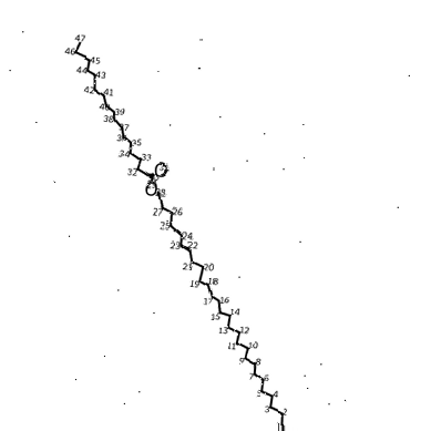 CCCCCCCCCCCCCCCCCCCCCCCCCCCCCOC(=O)CCCCCCCCCCCCCCCC